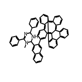 CN1C(c2ccccc2)=NC(C2C=CC=CC2)NC1c1cc2ccccc2cc1-c1ccc2c3cccc4c5cccc6c7ccccc7c(c7ccccc7c34)c(c2c1)c65